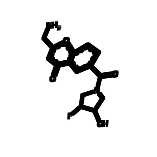 NCc1cc(=O)c2cc(C(=O)N3CC(O)C(F)C3)ccc2o1